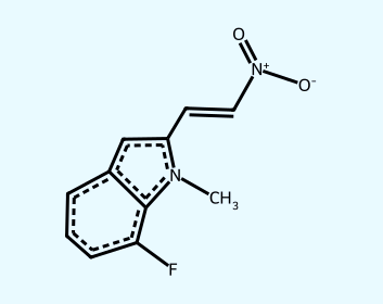 Cn1c(C=C[N+](=O)[O-])cc2cccc(F)c21